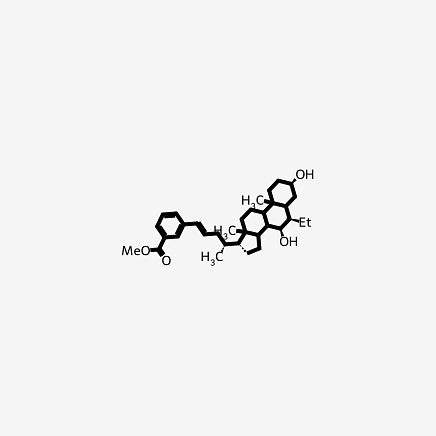 CC[C@@H]1C2C[C@H](O)CCC2(C)C2CCC3(C)C(CC[C@@H]3[C@H](C)C/C=C/c3cccc(C(=O)OC)c3)C2[C@@H]1O